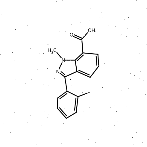 Cn1nc(-c2ccccc2F)c2cccc(C(=O)O)c21